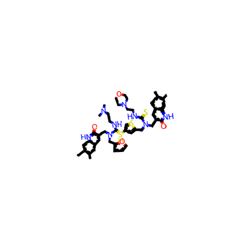 Cc1cc2cc(CN(Cc3cc(/[SH]=C(\NCCN(C)C)N(Cc4ccco4)Cc4cc5cc(C)c(C)cc5[nH]c4=O)cs3)C(=S)NCCN3CCOCC3)c(=O)[nH]c2cc1C